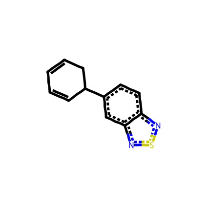 C1=CCC(c2ccc3nsnc3c2)C=C1